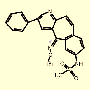 CC(C)(C)O/N=c1\c2cc(NS(C)(=O)=O)ccc2ccc2ncc(-c3ccccc3)cc12